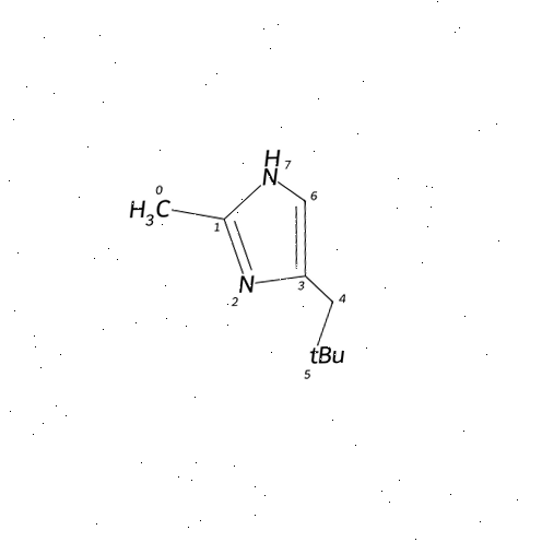 Cc1nc(CC(C)(C)C)c[nH]1